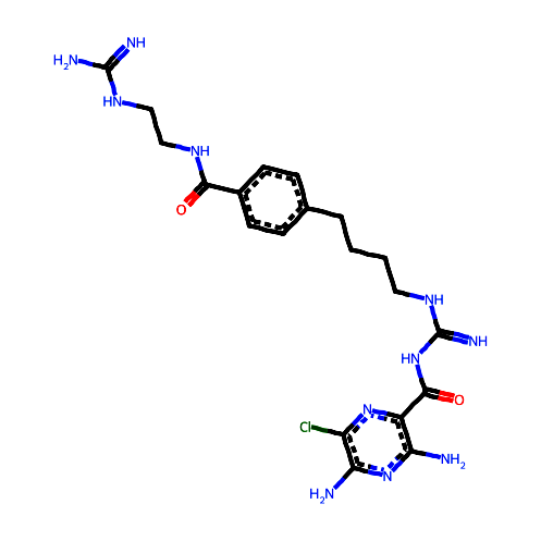 N=C(N)NCCNC(=O)c1ccc(CCCCNC(=N)NC(=O)c2nc(Cl)c(N)nc2N)cc1